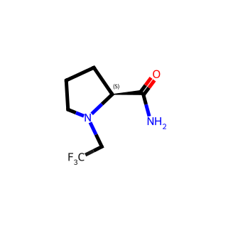 NC(=O)[C@@H]1CCCN1CC(F)(F)F